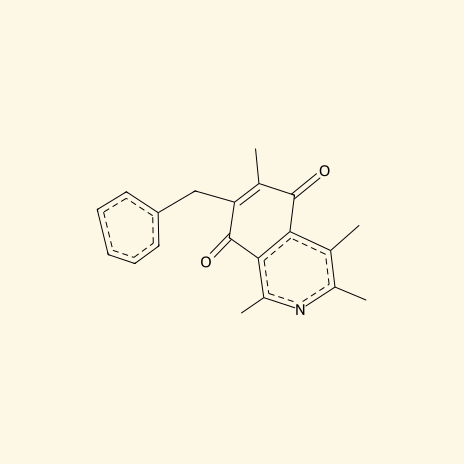 CC1=C(Cc2ccccc2)C(=O)c2c(C)nc(C)c(C)c2C1=O